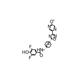 COc1cnc(-c2noc([C@]34CC[C@](CNC(=O)c5cc(F)c(O)c(F)c5)(CC3)CC4)n2)cn1